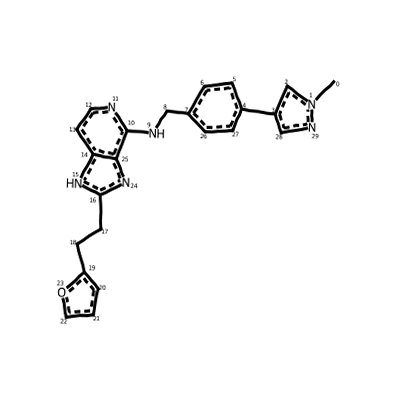 Cn1cc(-c2ccc(CNc3nccc4[nH]c(CCc5ccco5)nc34)cc2)cn1